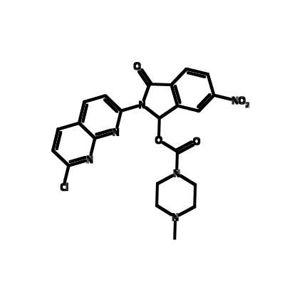 CN1CCN(C(=O)OC2c3cc([N+](=O)[O-])ccc3C(=O)N2c2ccc3ccc(Cl)nc3n2)CC1